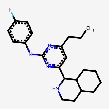 CCCc1cc(C2NCCC3CCCCC32)nc(Nc2ccc(F)cc2)n1